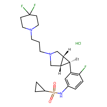 CC[C@]1(c2cc(NS(=O)(=O)C3CC3)ccc2F)[C@@H]2CN(CCCN3CCC(F)(F)CC3)C[C@@H]21.Cl